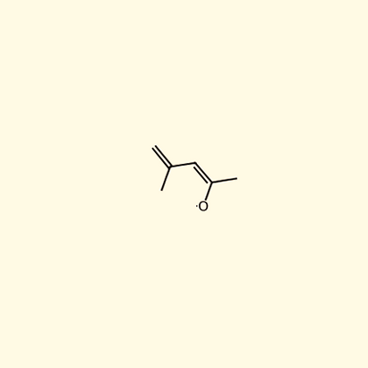 C=C(C)C=C(C)[O]